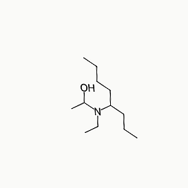 CCCCC(CCC)N(CC)C(C)O